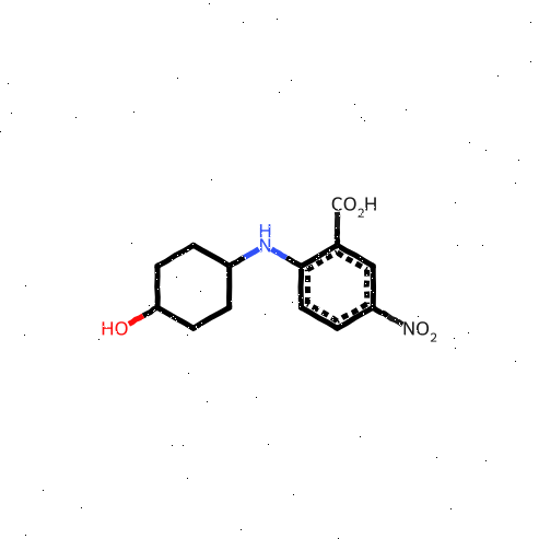 O=C(O)c1cc([N+](=O)[O-])ccc1NC1CCC(O)CC1